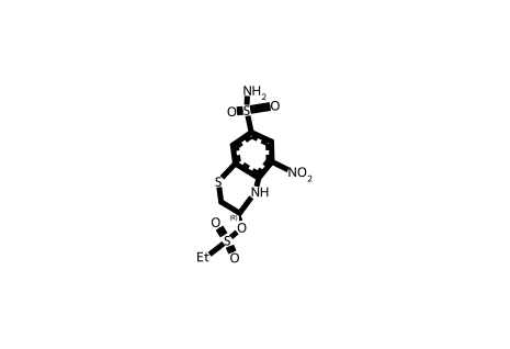 CCS(=O)(=O)O[C@@H]1CSc2cc(S(N)(=O)=O)cc([N+](=O)[O-])c2N1